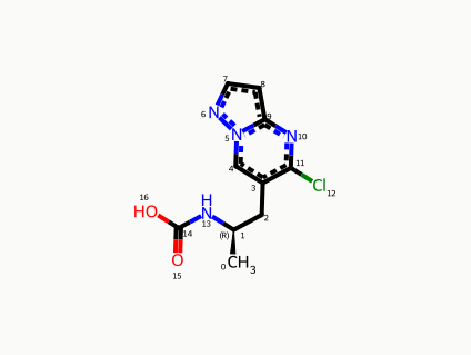 C[C@H](Cc1cn2nccc2nc1Cl)NC(=O)O